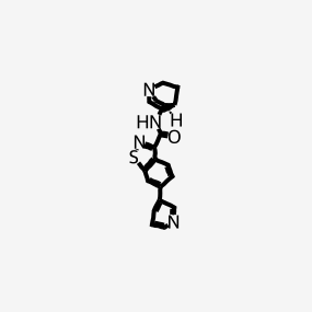 O=C(N[C@H]1CN2CCC1CC2)c1nsc2cc(-c3cccnc3)ccc12